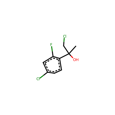 CC(O)(CCl)c1ccc(Cl)cc1F